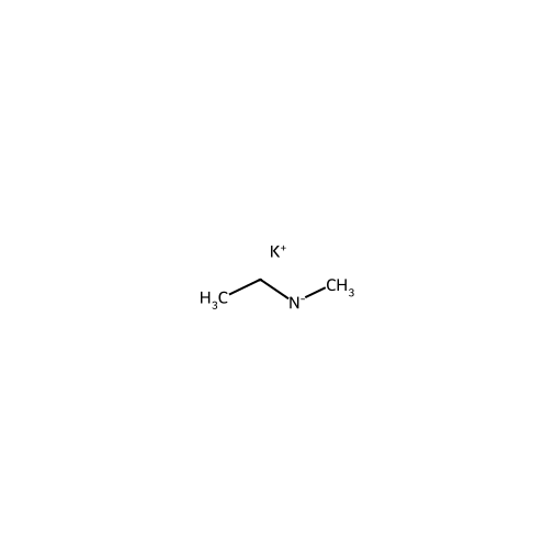 CC[N-]C.[K+]